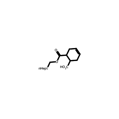 CCCCCCCCOC(=O)C1CC=CCC1C(=O)O